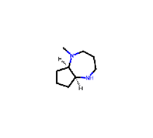 CN1CCCN[C@H]2CCC[C@H]21